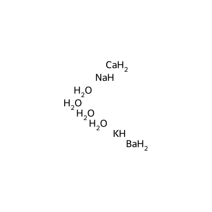 O.O.O.O.[BaH2].[CaH2].[KH].[NaH]